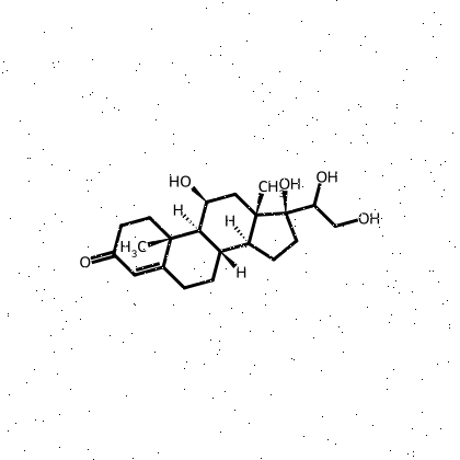 C[C@]12CCC(=O)C=C1CC[C@@H]1[C@@H]2[C@@H](O)C[C@@]2(C)[C@H]1CC[C@@]2(O)C(O)CO